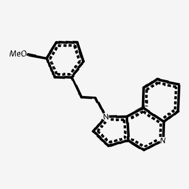 COc1cccc(CCn2ccc3cnc4ccccc4c32)c1